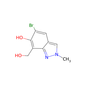 Cn1cc2cc(Br)c(O)c(CO)c2n1